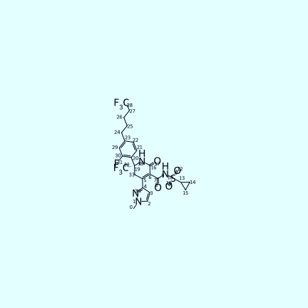 Cn1ccc(C2=C(C(=O)NS(=O)(=O)C3CC3)C(=O)N[C@@](c3ccc(CCCCC(F)(F)F)cc3F)(C(F)(F)F)C2)n1